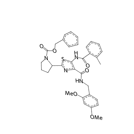 COc1ccc(CNC(=O)c2nc(C3CCCN3C(=O)OCc3ccccc3)sc2NC(=O)c2ccccc2C)c(OC)c1